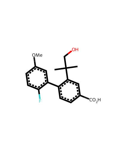 COc1ccc(F)c(-c2ccc(C(=O)O)cc2C(C)(C)CO)c1